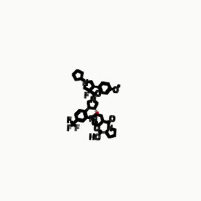 COC[C@H]1CN(C(=O)[C@]2(F)CN(C3CCCC3)C[C@H]2c2ccc(OC)cc2)C[C@@H]1c1ccc(C(F)(F)F)cc1N1CCC(C(=O)N2CCC[C@H]2C(=O)O)CC1